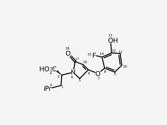 CC(C)C[C@@H](C(=O)O)N1CC(Oc2cccc(O)c2F)=CC1=O